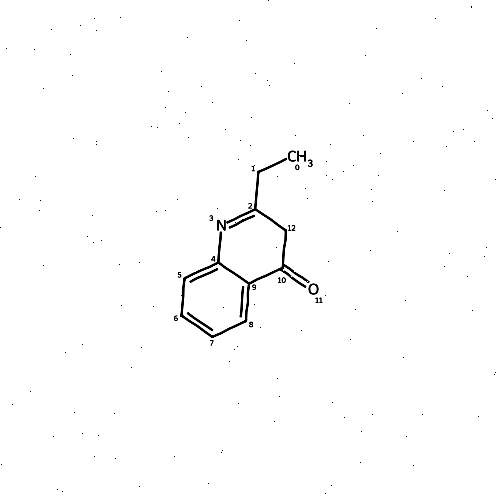 CCC1=Nc2ccccc2C(=O)C1